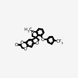 CN1CC2(COc3cc4c(cc32)OC(=O)CO4)c2c(Oc3ccc(C(F)(F)F)cc3)cccc21